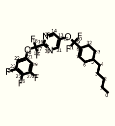 CCCCCC1CC=C(C(F)(F)Oc2cnc(C(F)(F)Oc3cc(F)c(F)c(F)c3)nc2)CC1